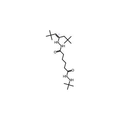 CC(C)(C)/C=C(/CC(C)(C)C)NNC(=O)CCCCC(=O)NNC(C)(C)C